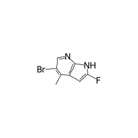 Cc1c(Br)cnc2[nH]c(F)cc12